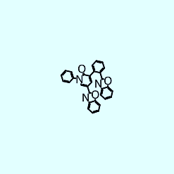 O=c1c(-c2ccccc2-c2nc3ccccc3o2)cc(-c2nc3ccccc3o2)cn1-c1ccccc1